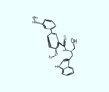 CCCCNc1cccc(-c2ccc(OCC)c(C(=O)N[C@@H](CO)Cc3c[nH]c4ccccc34)c2)c1